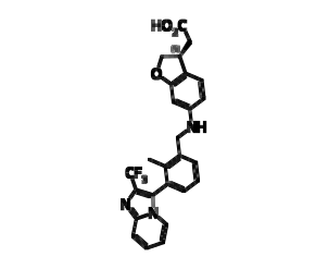 Cc1c(CNc2ccc3c(c2)OC[C@H]3CC(=O)O)cccc1-c1c(C(F)(F)F)nc2ccccn12